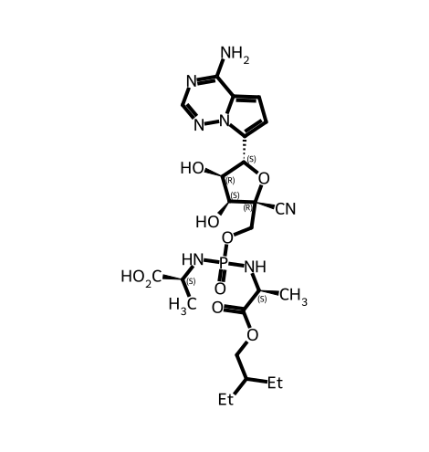 CCC(CC)COC(=O)[C@H](C)NP(=O)(N[C@@H](C)C(=O)O)OC[C@@]1(C#N)O[C@@H](c2ccc3c(N)ncnn23)[C@H](O)[C@@H]1O